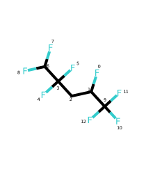 FC(CC(F)(F)C(F)F)C(F)(F)F